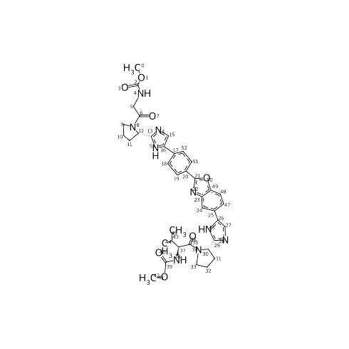 COC(=O)NCC(=O)N1CCC[C@H]1c1ncc(-c2ccc(-c3nc4cc(-c5cnc([C@@H]6CCCN6C(=O)[C@@H](NC(=O)OC)C(C)C)[nH]5)ccc4o3)cc2)[nH]1